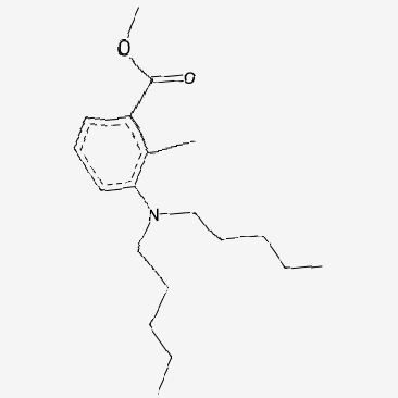 CCCCCN(CCCCC)c1cccc(C(=O)OC)c1C